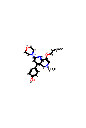 COCCOC1=CN(C(=O)O)Cc2c(-c3ccc(O)cc3)cc(N3CCOCC3)nc21